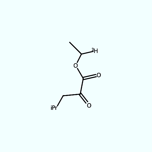 [3H]C(C)OC(=O)C(=O)CC(C)C